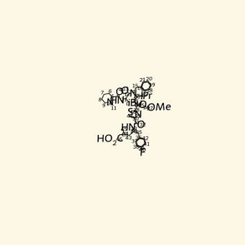 CCC(C)C(NC(=O)C1CCCCN1C)C(=O)N(Cc1ccccc1)[C@H](C[C@@H](OCOC)c1nc(C(=O)N[C@@H](Cc2ccc(F)cc2)C[C@H](C)C(=O)O)cs1)C(C)C